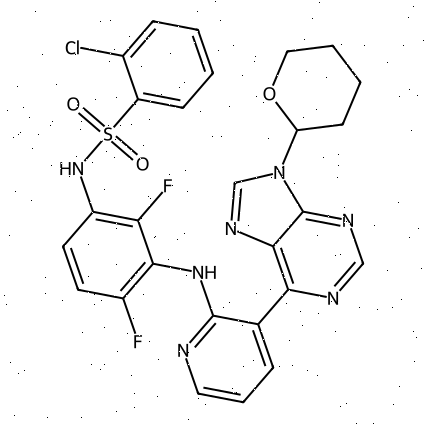 O=S(=O)(Nc1ccc(F)c(Nc2ncccc2-c2ncnc3c2ncn3C2CCCCO2)c1F)c1ccccc1Cl